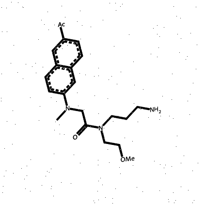 COCCN(CCCN)C(=O)CN(C)c1ccc2cc(C(C)=O)ccc2c1